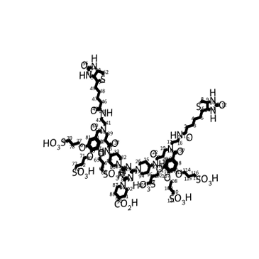 O=C(CCCCC1SCC2NC(=O)NC21)NCCN(CCC(=O)NC1CCN(c2nc(N3CCC(NC(=O)CCN(CCNC(=O)CCCCC4SCC5NC(=O)NC54)C(=O)c4cc(OCCCS(=O)(=O)O)c(OCCCS(=O)(=O)O)c(OCCCS(=O)(=O)O)c4)CC3)nc(N3CCC(C(=O)O)CC3)n2)CC1)C(=O)c1cc(OCCCS(=O)(=O)O)c(OCCCS(=O)(=O)O)c(OCCCS(=O)(=O)O)c1